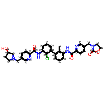 Cc1c(NC(=O)c2ccc(CN3CCOC3=O)cn2)cccc1-c1cccc(NC(=O)c2ccc(CN3CCC(O)C3)cn2)c1Cl